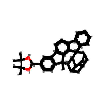 CC1(C)c2ccc(B3OC(C)(C)C(C)(C)O3)cc2-c2ccc3c(c21)C1(c2ccccc2-3)C2CC3CC(C2)CC1C3